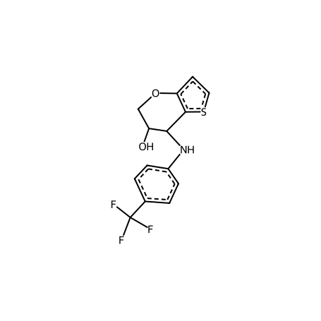 OC1COc2ccsc2C1Nc1ccc(C(F)(F)F)cc1